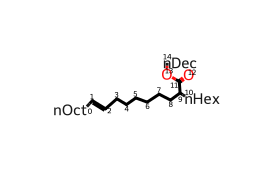 CCCCCCCCC=CCCCCCCC(CCCCCC)C(=O)OCCCCCCCCCC